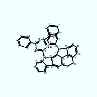 c1ccc(-c2nc(-c3ccccc3)nc(-n3c4ccccc4c4cc5c6c7c(cccc7n(-c7ccccc7)c6c43)CC5)n2)cc1